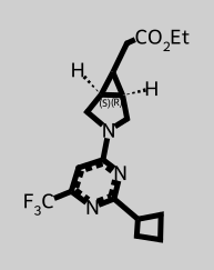 CCOC(=O)CC1[C@H]2CN(c3cc(C(F)(F)F)nc(C4CCC4)n3)C[C@@H]12